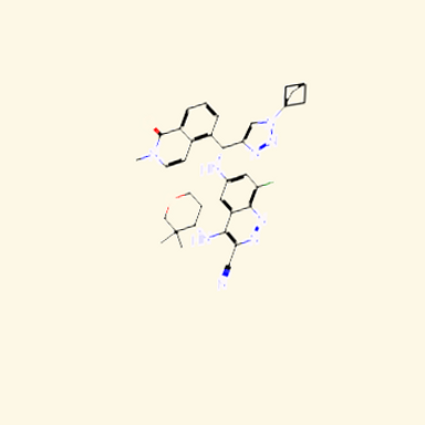 Cn1ccc2c([C@H](Nc3cc(Cl)c4nnc(C#N)c(N[C@@H]5CCOCC5(C)C)c4c3)c3cn(C45CC(C4)C5)nn3)cccc2c1=O